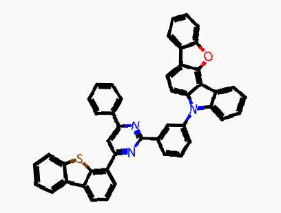 c1ccc(-c2cc(-c3cccc4c3sc3ccccc34)nc(-c3cccc(-n4c5ccccc5c5c6oc7ccccc7c6ccc54)c3)n2)cc1